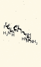 NC(=NCC(F)(F)F)Nc1ccnc(CSCCNc2nc(N)n[nH]2)n1